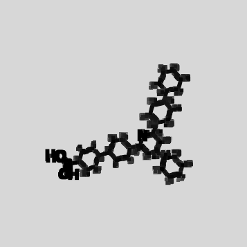 OB(O)c1ccc(-c2ccc(-c3cc(-c4ccccc4)cc(-c4ccc(-c5ccccc5)cc4)n3)cc2)cc1